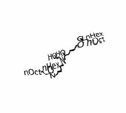 CCCCCCCCC(CCCCCC)CC(=O)N(C)CCCCCN(CCO)CC(O)C/C=C/COC(=O)C(CCCCCC)CCCCCCCC